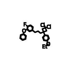 CCOc1ccc(C2(CCCc3ccc(F)c(Oc4ccccc4)c3)CC(Cl)(Cl)C2)cc1